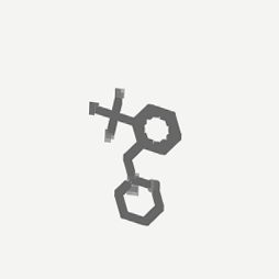 FC(F)(F)c1ccccc1C[SiH]1CCCCO1